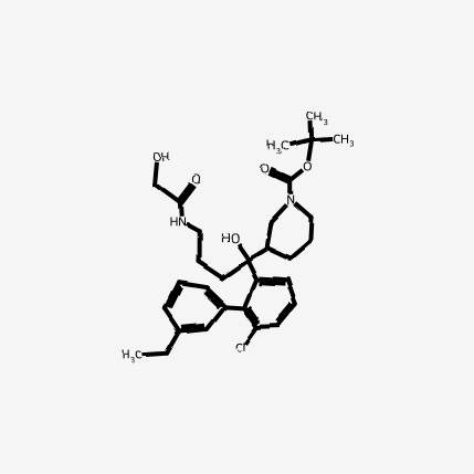 CCc1cccc(-c2c(Cl)cccc2C(O)(CCCNC(=O)CO)C2CCCN(C(=O)OC(C)(C)C)C2)c1